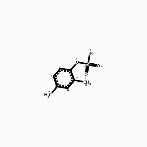 Cc1ccc(OS(=O)(=O)C(C)C)c(C)c1